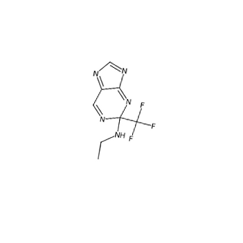 CCNC1(C(F)(F)F)N=CC2=NC=NC2=N1